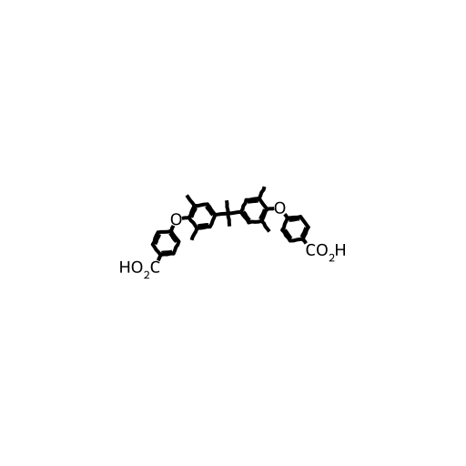 Cc1cc(C(C)(C)c2cc(C)c(Oc3ccc(C(=O)O)cc3)c(C)c2)cc(C)c1Oc1ccc(C(=O)O)cc1